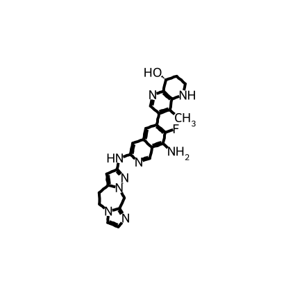 Cc1c(-c2cc3cc(Nc4cc5n(n4)Cc4nccn4CC5)ncc3c(N)c2F)cnc2c1NCC[C@H]2O